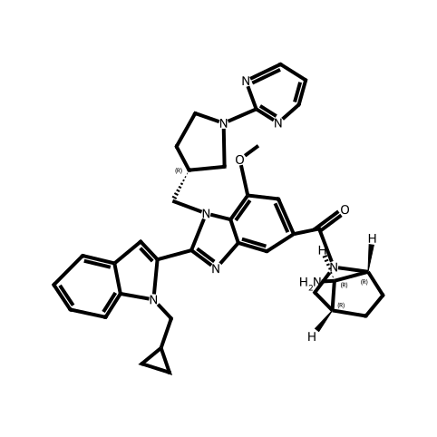 COc1cc(C(=O)N2C[C@H]3CC[C@@H]2[C@@H]3N)cc2nc(-c3cc4ccccc4n3CC3CC3)n(C[C@@H]3CCN(c4ncccn4)C3)c12